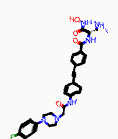 NC[C@H](NC(=O)c1ccc(C#Cc2ccc(NC(=O)CN3CCN(c4ccc(F)cc4)CC3)cc2)cc1)C(=O)NO